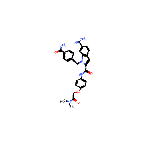 CN(C)C(=O)COc1ccc(NC(=O)c2cc3ccc(C(=N)N)cc3n2Cc2ccc(C(N)=O)cc2)cc1